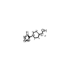 C[C@@H](O)C1CCN(c2nnn[nH]2)CC1